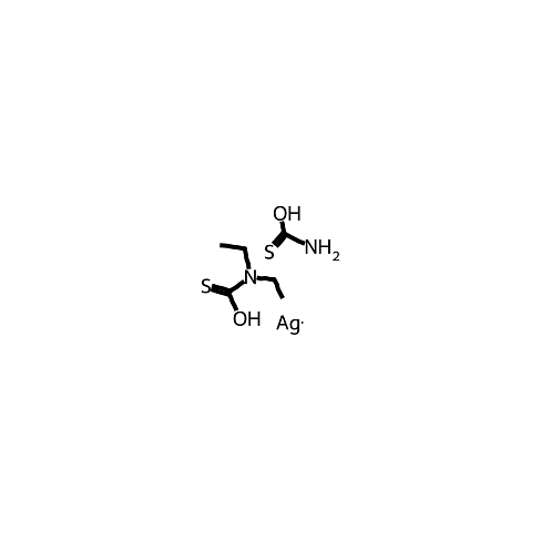 CCN(CC)C(O)=S.NC(O)=S.[Ag]